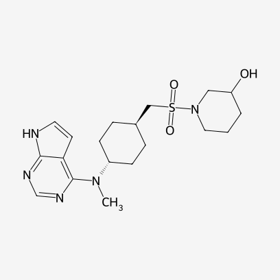 CN(c1ncnc2[nH]ccc12)[C@H]1CC[C@H](CS(=O)(=O)N2CCCC(O)C2)CC1